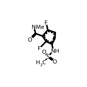 CNC(=O)c1c(F)ccc(NS(C)(=O)=O)c1F